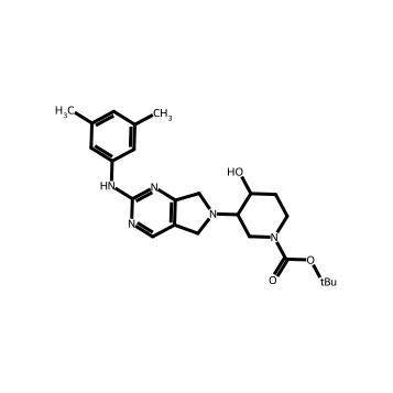 Cc1cc(C)cc(Nc2ncc3c(n2)CN(C2CN(C(=O)OC(C)(C)C)CCC2O)C3)c1